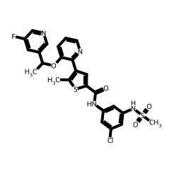 Cc1sc(C(=O)Nc2cc(Cl)cc(NS(C)(=O)=O)c2)cc1-c1ncccc1OC(C)c1cncc(F)c1